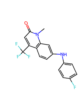 Cn1c(=O)cc(C(F)(F)F)c2ccc(Nc3ccc(F)cc3)cc21